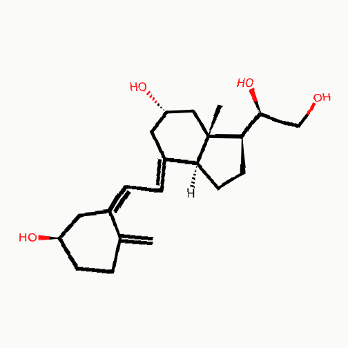 C=C1CC[C@@H](O)C/C1=C/C=C1\C[C@H](O)C[C@]2(C)[C@@H]([C@@H](O)CO)CC[C@@H]12